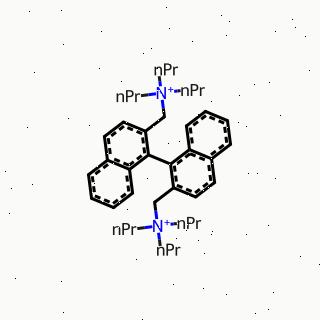 CCC[N+](CCC)(CCC)Cc1ccc2ccccc2c1-c1c(C[N+](CCC)(CCC)CCC)ccc2ccccc12